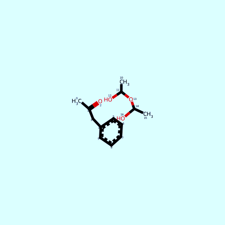 CC(=O)Cc1ccccc1.CC(O)OC(C)O